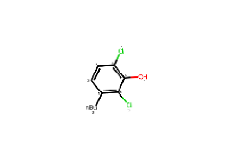 CCCCc1ccc(Cl)c(O)c1Cl